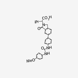 COc1ccc(NC(=O)Nc2ccc(-c3ccc4c(c3)C(=O)N(C(C(=O)O)C(C)C)C4)cc2)cc1